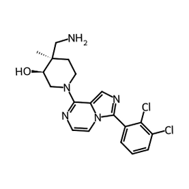 C[C@]1(CN)CCN(c2nccn3c(-c4cccc(Cl)c4Cl)ncc23)C[C@H]1O